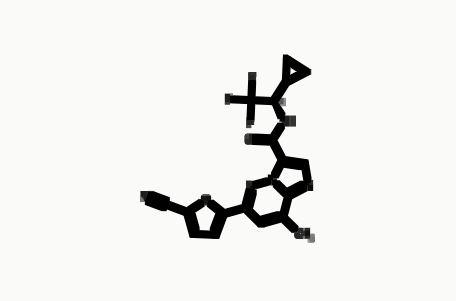 Cc1cc(-c2ccc(C#N)o2)nn2c(C(=O)N[C@H](C3CC3)C(F)(F)F)cnc12